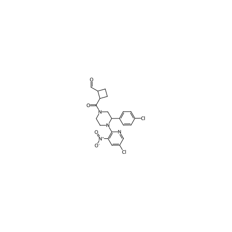 O=CC1CCC1C(=O)N1CCN(c2ncc(Cl)cc2[N+](=O)[O-])C(c2ccc(Cl)cc2)C1